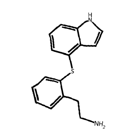 NCCc1ccccc1Sc1cccc2[nH]ccc12